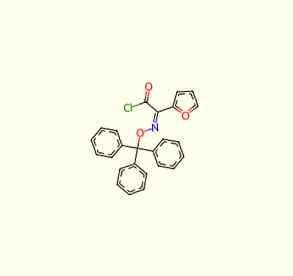 O=C(Cl)C(=NOC(c1ccccc1)(c1ccccc1)c1ccccc1)c1ccco1